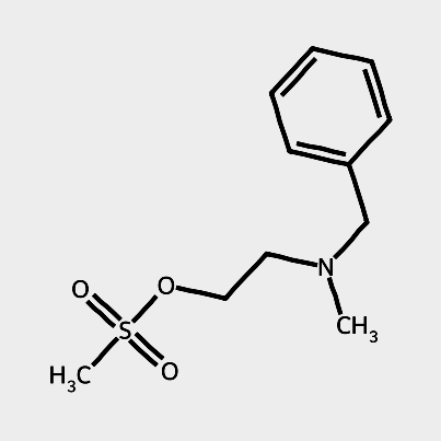 CN(CCOS(C)(=O)=O)Cc1ccccc1